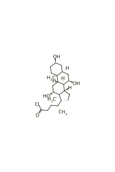 C[C@H](CCC(=O)Cl)[C@H]1CC[C@H]2[C@@H]3[C@H](O)C[C@@H]4C[C@H](O)CC[C@]4(C)[C@H]3C[C@H](O)[C@]12C